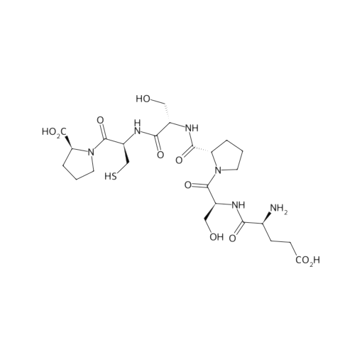 N[C@@H](CCC(=O)O)C(=O)N[C@@H](CO)C(=O)N1CCC[C@H]1C(=O)N[C@@H](CO)C(=O)N[C@@H](CS)C(=O)N1CCC[C@H]1C(=O)O